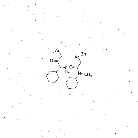 CC(=O)CC(=O)N(C)C1CCCCC1.CC(=O)CC(=O)N(C)C1CCCCC1.[Zn]